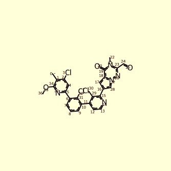 [CH2]c1c(Cl)cc(-c2cccc(-c3ccnc(-c4cc5c(=O)n(C)c(C=O)nn5c4)c3Cl)c2Cl)nc1OC